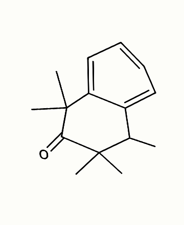 CC1c2ccccc2C(C)(C)C(=O)C1(C)C